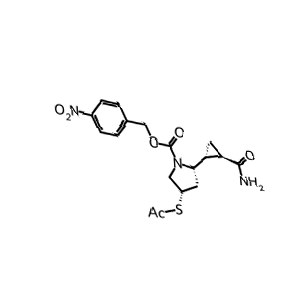 CC(=O)S[C@H]1C[C@@H]([C@@H]2C[C@H]2C(N)=O)N(C(=O)OCc2ccc([N+](=O)[O-])cc2)C1